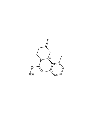 Cc1cccc(C)c1[C@@H]1CC(=O)CCN1C(=O)OC(C)(C)C